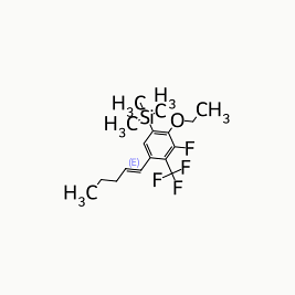 CCC/C=C/c1cc([Si](C)(C)C)c(OCC)c(F)c1C(F)(F)F